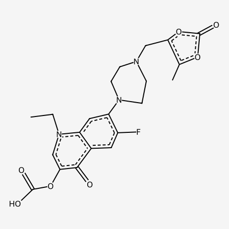 CCn1cc(OC(=O)O)c(=O)c2cc(F)c(N3CCN(Cc4oc(=O)oc4C)CC3)cc21